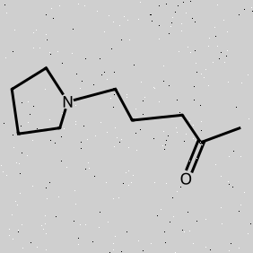 CC(=O)CCCN1CCCC1